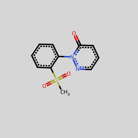 CS(=O)(=O)c1ccccc1-n1ncccc1=O